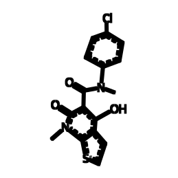 CN(C(=O)c1c(O)c2ccsc2n(C)c1=O)c1ccc(Cl)cc1